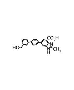 Cc1nc2c(C(=O)O)cc(-c3ccc(-c4cccc(CO)c4)cc3)cc2[nH]1